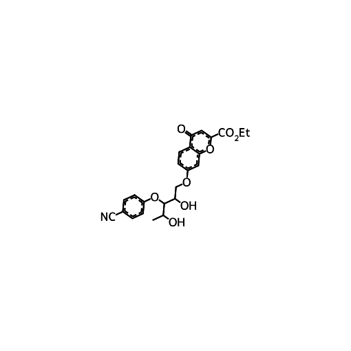 CCOC(=O)c1cc(=O)c2ccc(OCC(O)C(Oc3ccc(C#N)cc3)C(C)O)cc2o1